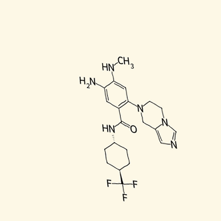 CNc1cc(N2CCn3cncc3C2)c(C(=O)N[C@H]2CC[C@H](C(F)(F)F)CC2)cc1N